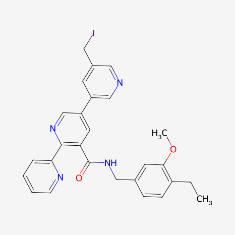 CCc1ccc(CNC(=O)c2cc(-c3cncc(CI)c3)cnc2-c2ccccn2)cc1OC